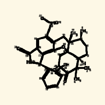 C[C@H]1CC[C@H]2C(C)(C)C(=O)[C@H](O)C[C@]23Oc2c(c([N+](=O)[O-])cc4c2[C@@H](c2ccccc2O)NC4=O)C[C@]13C